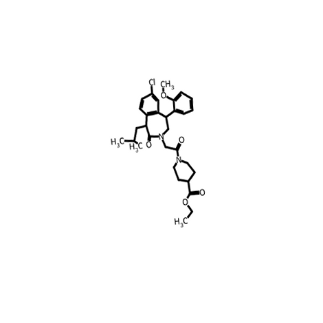 CCOC(=O)C1CCN(C(=O)CN2CC(c3ccccc3OC)c3cc(Cl)ccc3C(CC(C)C)C2=O)CC1